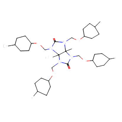 CCCC12N(COC3CCC(CC)CC3)C(=O)N(COC3CCC(CC)CC3)C1(C)N(COC1CCC(CC)CC1)C(=O)N2COC1CCC(CC)CC1